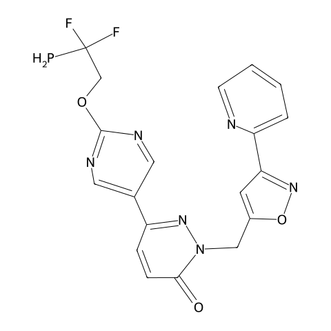 O=c1ccc(-c2cnc(OCC(F)(F)P)nc2)nn1Cc1cc(-c2ccccn2)no1